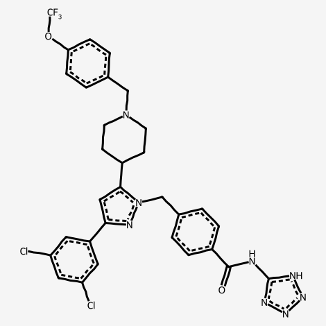 O=C(Nc1nnn[nH]1)c1ccc(Cn2nc(-c3cc(Cl)cc(Cl)c3)cc2C2CCN(Cc3ccc(OC(F)(F)F)cc3)CC2)cc1